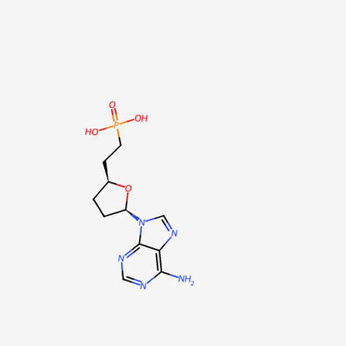 Nc1ncnc2c1ncn2[C@H]1CC[C@@H](CCP(=O)(O)O)O1